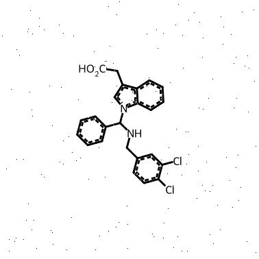 O=C(O)Cc1cn(C(NCc2ccc(Cl)c(Cl)c2)c2ccccc2)c2ccccc12